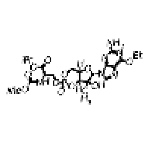 CCOc1nc(N)nc2c1ncn2[C@@H]1O[C@@H]2COP(=O)(OC[C@@H](NC(=O)OC)C(=O)OC(C)C)O[C@H]2[C@@]1(C)O